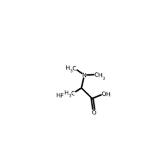 CC(C(=O)O)N(C)C.F